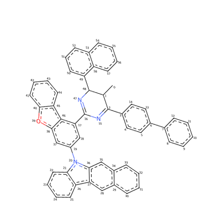 CC1C(c2ccc(-c3ccccc3)cc2)=NC(c2cc(-n3c4ccccc4c4cc5ccccc5cc43)cc3oc4ccccc4c23)=NC1c1cccc2ccccc12